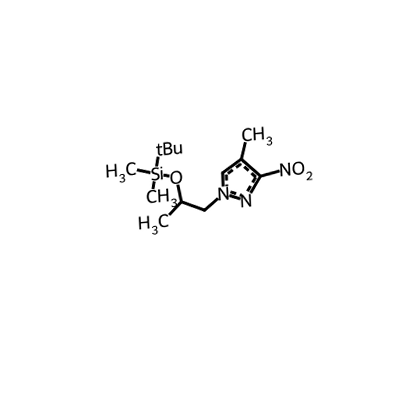 Cc1cn(CC(C)O[Si](C)(C)C(C)(C)C)nc1[N+](=O)[O-]